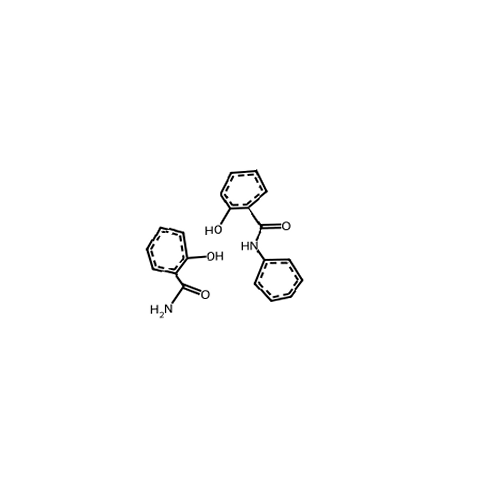 NC(=O)c1ccccc1O.O=C(Nc1ccccc1)c1ccccc1O